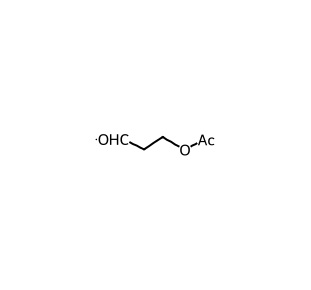 CC(=O)OCC[C]=O